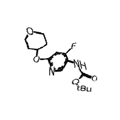 CC(C)(C)OC(=O)Nc1cnc(OC2CCOCC2)cc1F